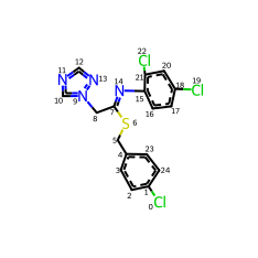 Clc1ccc(CS/C(Cn2cncn2)=N\c2ccc(Cl)cc2Cl)cc1